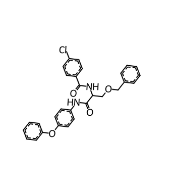 O=C(NC(COCc1ccccc1)C(=O)Nc1ccc(Oc2ccccc2)cc1)c1ccc(Cl)cc1